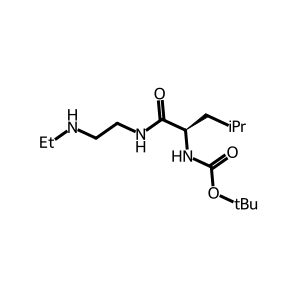 CCNCCNC(=O)[C@@H](CC(C)C)NC(=O)OC(C)(C)C